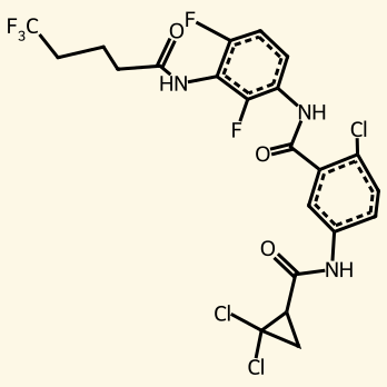 O=C(CCCC(F)(F)F)Nc1c(F)ccc(NC(=O)c2cc(NC(=O)C3CC3(Cl)Cl)ccc2Cl)c1F